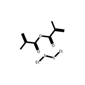 C=C(C)C(=O)OC(=O)C(=C)C.CCSSCC